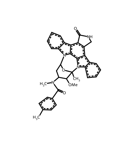 COC1C(N(C)C(=O)c2ccc(C)cc2)CC2OC1(C)n1c3ccccc3c3c4c(c5c6ccccc6n2c5c31)C(=O)NC4